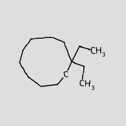 CCC1(CC)CCCCCCCCC1